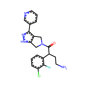 NCCC(C(=O)N1Cc2[nH]nc(-c3cccnc3)c2C1)c1cccc(Cl)c1F